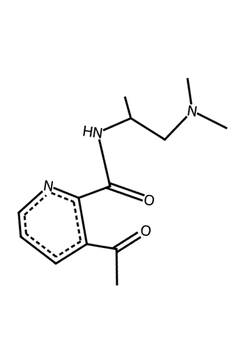 CC(=O)c1cccnc1C(=O)NC(C)CN(C)C